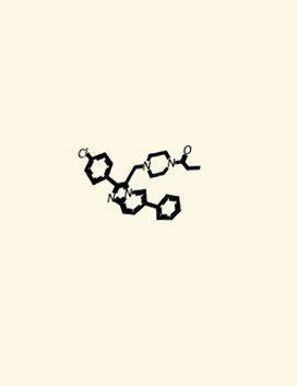 CCC(=O)N1CCN(Cc2c(-c3ccc(Cl)cc3)nc3ccc(-c4ccccc4)cn23)CC1